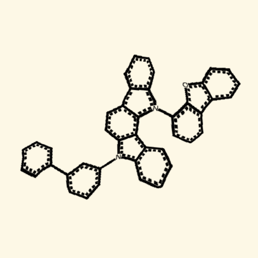 c1ccc(-c2cccc(-n3c4ccccc4c4c3ccc3c5ccccc5n(-c5cccc6c5oc5ccccc56)c34)c2)cc1